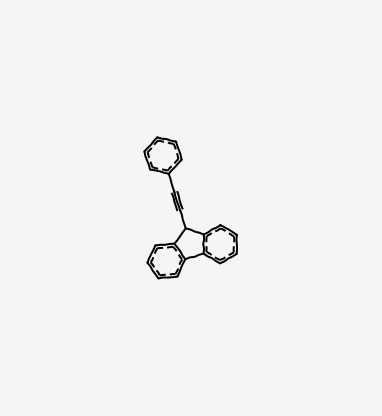 C(#CC1c2ccccc2-c2ccccc21)c1ccccc1